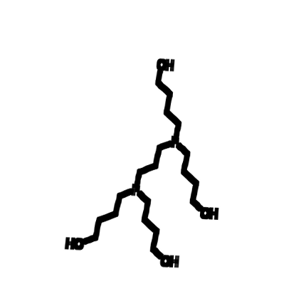 OCCCCP(CCCCO)CCCP(CCCCO)CCCCO